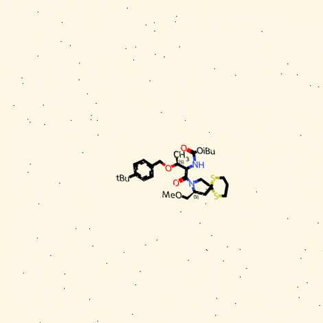 COC[C@@H]1CC2(CN1C(=O)C(NC(=O)OCC(C)C)[C@H](C)OCc1ccc(C(C)(C)C)cc1)SCCCS2